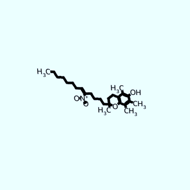 CCCCCCCC=C(CCCCC1(C)CCc2c(C)c(O)c(C)c(C)c2O1)[N+](=O)[O-]